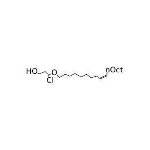 CCCCCCCC/C=C\CCCCCCCCOC(Cl)CCO